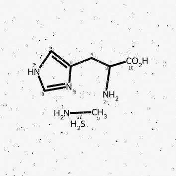 CN.NC(Cc1c[nH]cn1)C(=O)O.S